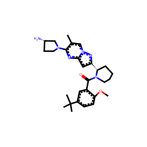 COc1ccc(C(C)(C)C)cc1C(=O)N1CCCC[C@H]1c1cc2nc(N3CC[C@H](N)C3)c(C)cn2n1